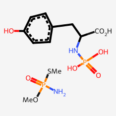 COP(N)(=O)SC.O=C(O)C(Cc1ccc(O)cc1)NP(=O)(O)O